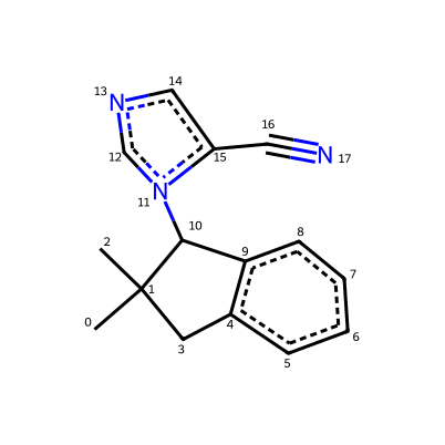 CC1(C)Cc2ccccc2C1n1cncc1C#N